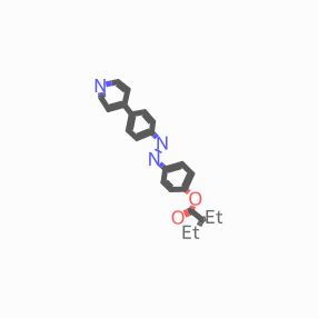 CCC(CC)C(=O)Oc1ccc(/N=N/c2ccc(-c3ccncc3)cc2)cc1